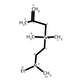 C=C(C)C[Si](C)(C)CCN(C)CC